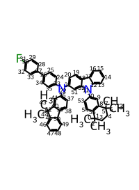 CC1(C)CCC(C)(C)c2cc(-n3c4ccccc4c4ccc(N(c5ccc(-c6ccc(F)cc6)cc5)c5ccc6c(c5)C(C)(C)c5ccccc5-6)cc43)ccc21